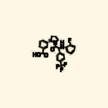 O=C(O)c1cccc([C@@H]2CCCN2C(=O)C(Nc2ccccc2F)c2ccc(C(F)(F)F)cc2)c1